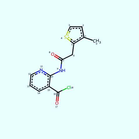 Cc1ccsc1CC(=O)Nc1ncccc1C(=O)Cl